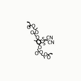 C=CC(=O)OCC(C)OC(=O)COc1c(C)cc(OCC(=O)OCC(C)OC(=O)C=C)c2c1SC(=C(C#N)C#N)S2